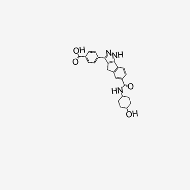 O=C(O)c1ccc(-c2n[nH]c3c2Cc2cc(C(=O)NC4CCC(O)CC4)ccc2-3)cc1